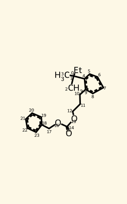 CCC(C)(C)c1ccccc1CCCOC(=O)OCc1ccccc1